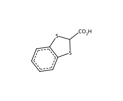 O=C(O)C1Sc2ccccc2S1